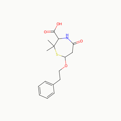 CC1(C)SC(OCCc2ccccc2)CC(=O)NC1C(=O)O